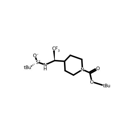 CC(C)(C)OC(=O)N1CCC([C@@H](N[S@@+]([O-])C(C)(C)C)C(F)(F)F)CC1